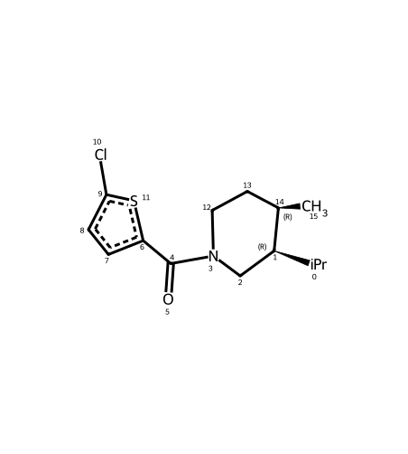 CC(C)[C@H]1CN(C(=O)c2ccc(Cl)s2)CC[C@H]1C